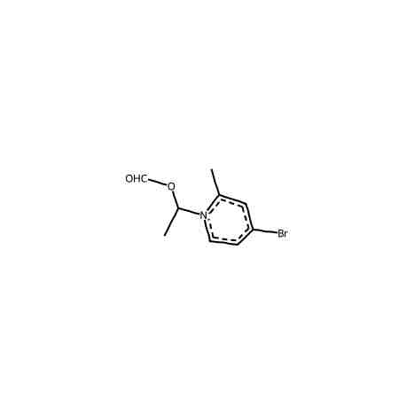 Cc1cc(Br)cc[n+]1C(C)OC=O